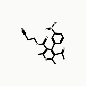 CC(=O)c1c(C)nc(C)c(C(=O)OCCC#N)c1-c1cccc([N+](=O)[O-])c1